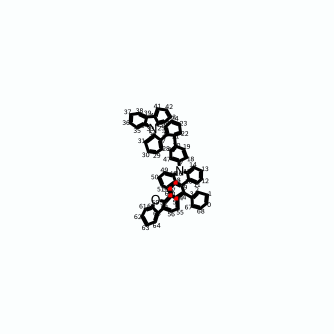 c1ccc(-c2ccccc2-c2ccccc2N(c2ccc(-c3ccccc3-c3ccccc3-n3c4ccccc4c4ccccc43)cc2)c2cccc(-c3cccc4c3oc3ccccc34)c2)cc1